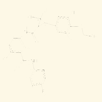 CCOc1c(Cl)cc(C2C(C(=O)Nc3ccc(Cl)c(C(=O)Nc4ccc(F)cc4)c3)C2(Cl)Cl)cc1Cl